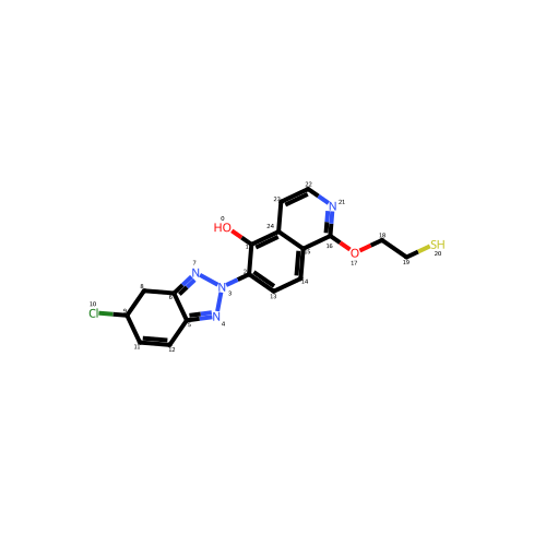 Oc1c(-n2nc3c(n2)CC(Cl)C=C3)ccc2c(OCCS)nccc12